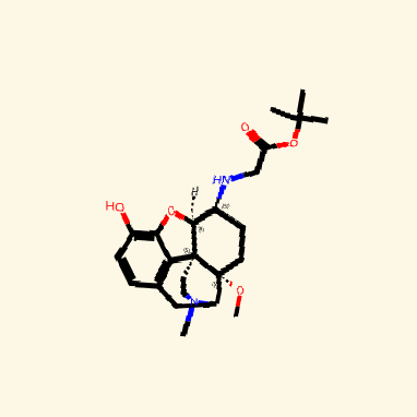 CO[C@@]12CC[C@H](NCC(=O)OC(C)(C)C)[C@@H]3Oc4c(O)ccc5c4[C@@]31CCN(C)C2C5